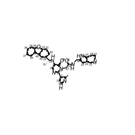 C[C@@H](Nc1cnc(-c2cn[nH]c2)n(CC(=O)NCc2cc3cnccc3[nH]2)c1=O)c1ccc2oc3ccccc3c2c1